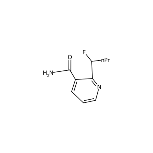 CCCC(F)c1ncccc1C(N)=O